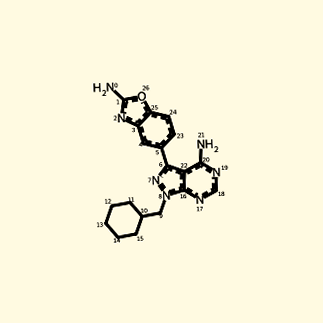 Nc1nc2cc(-c3nn(CC4CCCCC4)c4ncnc(N)c34)ccc2o1